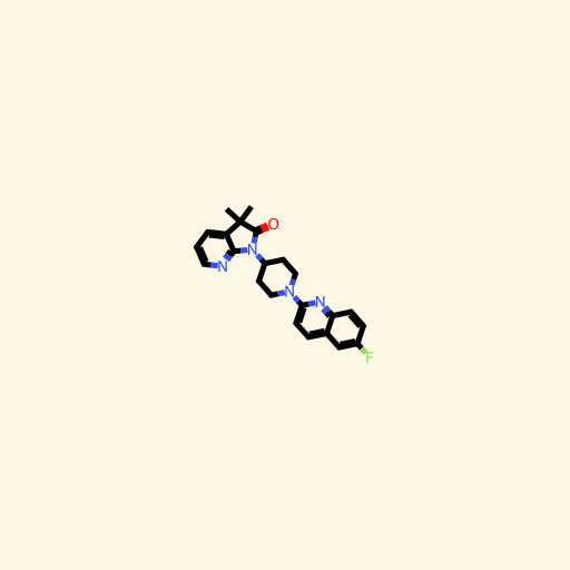 CC1(C)C(=O)N(C2CCN(c3ccc4cc(F)ccc4n3)CC2)c2ncccc21